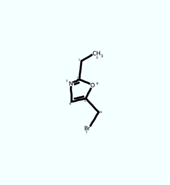 CCc1ncc(CBr)o1